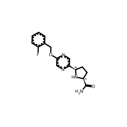 NC(=O)[C@@H]1CC[C@H](c2cnc(OCc3ccccc3F)cn2)N1